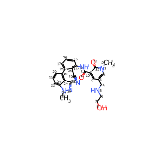 Cn1cc(CNCCO)cc(C(=O)Nc2cccc(-c3cccc4c3cnn4C)c2C#N)c1=O